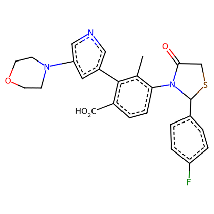 Cc1c(N2C(=O)CSC2c2ccc(F)cc2)ccc(C(=O)O)c1-c1cncc(N2CCOCC2)c1